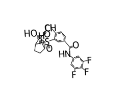 C#C[C@@]1(O)CC2CCC1[C@@H]2S(=O)(=O)c1cc(C(=O)Nc2cc(F)c(F)c(F)c2)ccc1Cl